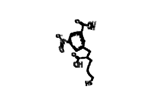 O=C(O)c1cc(CC(CCCS)C(=O)O)cc([N+](=O)[O-])c1